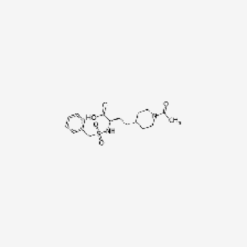 CC(=O)N1CCC(CC[C@@H](NS(=O)(=O)Cc2ccccc2)C(=O)O)CC1